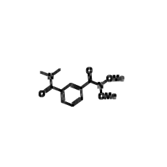 CON(OC)C(=O)c1cccc(C(=O)N(C)C)c1